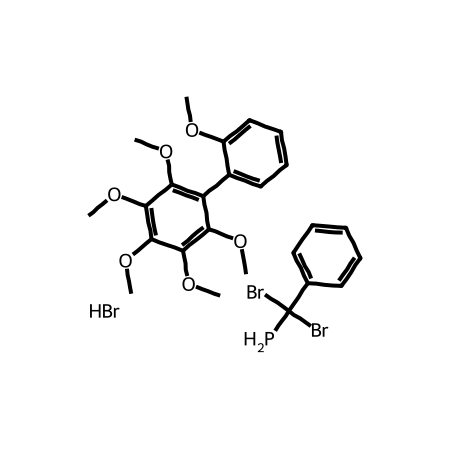 Br.COc1ccccc1-c1c(OC)c(OC)c(OC)c(OC)c1OC.PC(Br)(Br)c1ccccc1